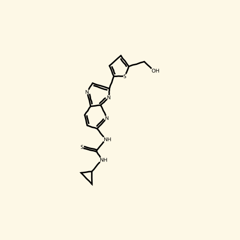 OCc1ccc(-c2cnc3ccc(NC(=S)NC4CC4)nc3n2)s1